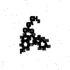 CCOC(=O)Oc1cc2cc(F)ccc2n1Cc1nc2ccccc2s1